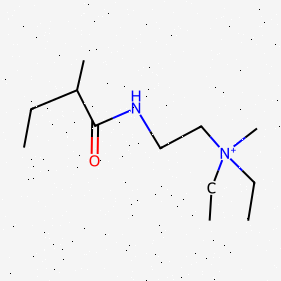 CCC(C)C(=O)NCC[N+](C)(CC)CC